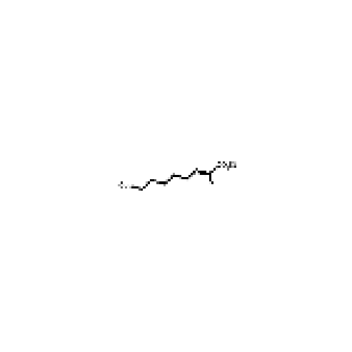 CCCCCCCCCCCCC/C=C(\F)C(=O)OCC